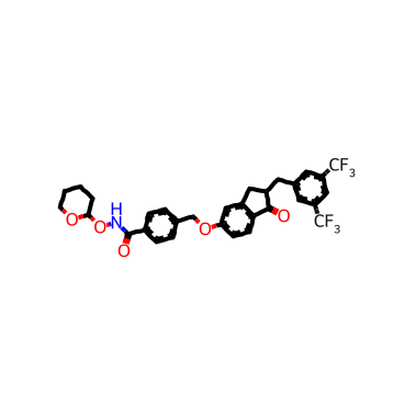 O=C(NOC1CCCCO1)c1ccc(COc2ccc3c(c2)CC(Cc2cc(C(F)(F)F)cc(C(F)(F)F)c2)C3=O)cc1